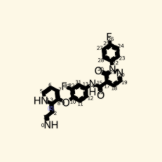 N=C/C=C1\NC=CC=C1Oc1ccc(NC(=O)c2ccnn(-c3ccc(F)cc3)c2=O)cc1F